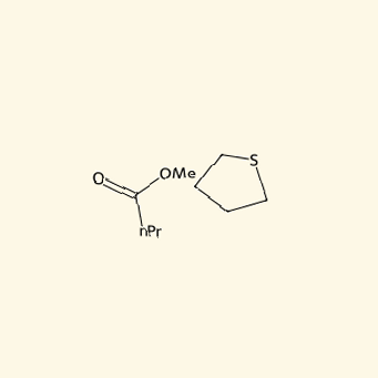 C1CCSC1.CCCC(=O)OC